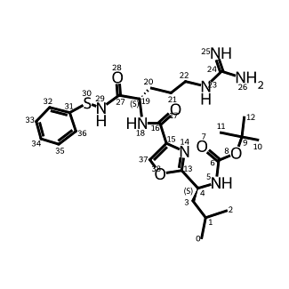 CC(C)C[C@H](NC(=O)OC(C)(C)C)c1nc(C(=O)N[C@@H](CCCNC(=N)N)C(=O)NSc2ccccc2)co1